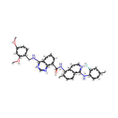 COc1ccc(CNc2ncnc3c(C(=O)Nc4c(C)ccc5c(Nc6ccc(C)cc6F)nccc45)cccc23)c(OC)c1